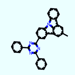 Cc1cc2c3ccccc3n3c4ccc(-c5nc(-c6ccccc6)nc(-c6ccccc6)n5)cc4c(c1)c23